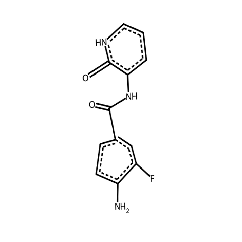 Nc1ccc(C(=O)Nc2ccc[nH]c2=O)cc1F